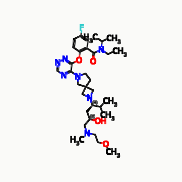 CCN(C(=O)c1cc(F)ccc1Oc1nncnc1N1CCC2(C1)CN([C@H](C[C@@H](O)CN(C)CCOC)C(C)C)C2)C(C)C